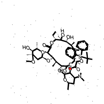 CC[C@H]1OC(=O)[C@H](C)[C@@H](O[C@H]2C[C@@](C)(OC)[C@@H](O)[C@H](C)O2)[C@H](C)[C@@H](OC2OC(C)CC(N(C)C)C2OC(=O)CO[Si](c2ccccc2)(c2ccccc2)C(C)(C)C)[C@](C)(O)C[C@@H](C)CN(C)[C@H](C)[C@@H](O)[C@]1(C)O